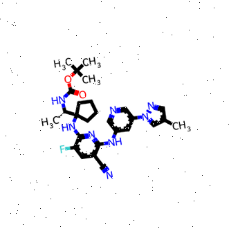 Cc1cnn(-c2cncc(Nc3nc(NC4([C@H](C)NC(=O)OC(C)(C)C)CCCC4)c(F)cc3C#N)c2)c1